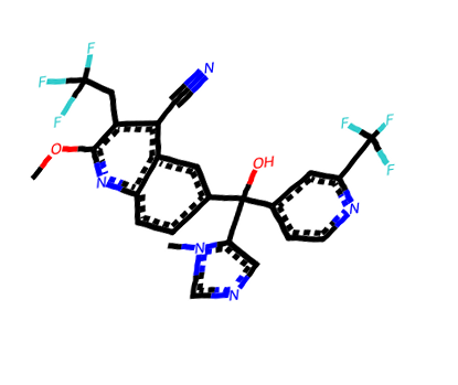 COc1nc2ccc(C(O)(c3ccnc(C(F)(F)F)c3)c3cncn3C)cc2c(C#N)c1CC(F)(F)F